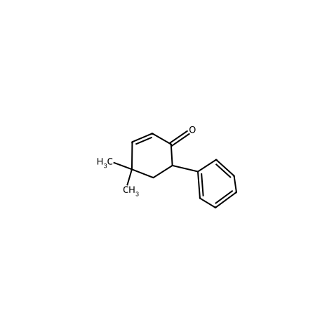 CC1(C)C=CC(=O)C(c2ccccc2)C1